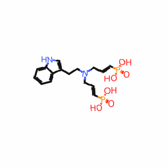 O=P(O)(O)C=CCN(CC=CP(=O)(O)O)CCc1c[nH]c2ccccc12